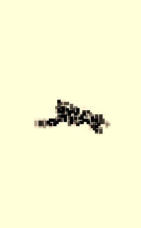 Cn1nc(O)c(=O)nc1SCC1=C(C(=O)O)N2C(=O)[C@@H](NC(=O)C(=NOCc3ccc(O)cc3)c3csc(N)n3)[C@@H]2SC1